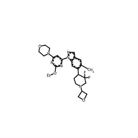 CCOc1nc(N2CCOCC2)cc(-n2ncc3cc(C)c(C4CCN(C5COC5)CC4(F)F)cc32)n1